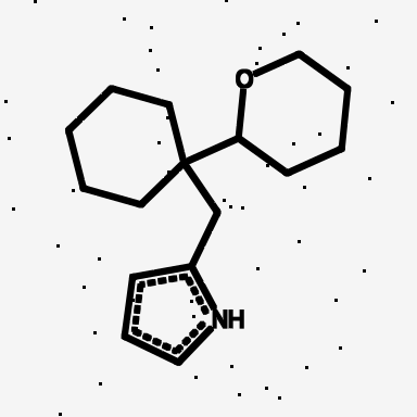 c1c[nH]c(CC2(C3CCCCO3)CCCCC2)c1